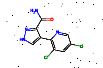 NC(=O)c1n[nH]cc1-c1ncc(Cl)cc1Cl